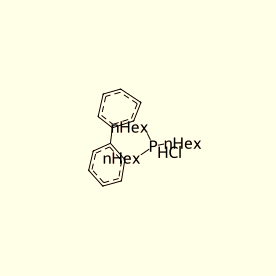 CCCCCCP(CCCCCC)CCCCCC.Cl.c1ccc(-c2ccccc2)cc1